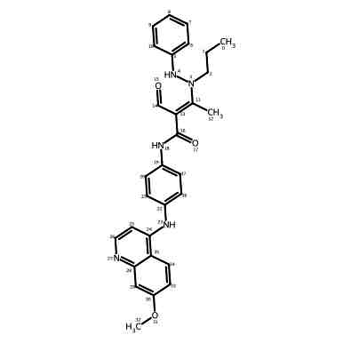 CCCN(Nc1ccccc1)/C(C)=C(\C=O)C(=O)Nc1ccc(Nc2ccnc3cc(OC)ccc23)cc1